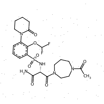 CC(=O)N1CCCN(C(=O)[C@@H](NS(=O)(=O)c2cccc(N3CCCCC3=O)c2OC(F)F)C(N)=O)CC1